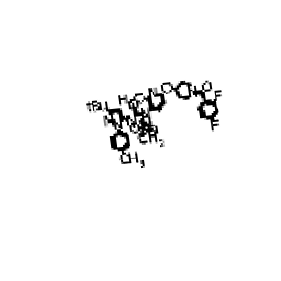 Cc1ccc(-n2nc(C(C)(C)C)cc2N(OS(C)(=O)=O)C(=O)Nc2ccc(OC3CCN(C(=O)c4ccc(F)cc4F)CC3)nc2C)cc1